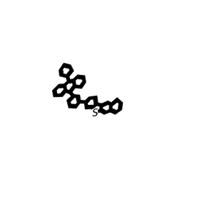 c1ccc(-c2c3ccccc3c(-c3cccc(-c4ccc5c(c4)sc4cc6ccccc6cc45)c3)c3ccccc23)cc1